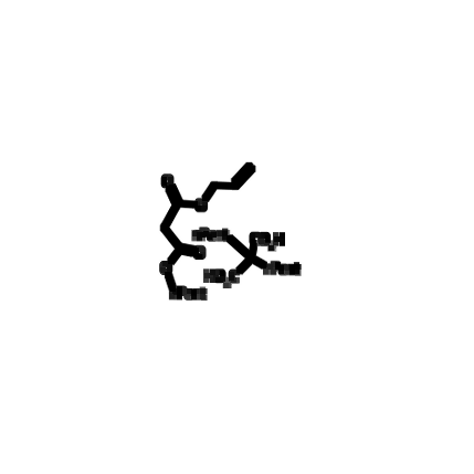 C=CCOC(=O)CC(=O)OCCCCC.CCCCCC(CCCCC)(C(=O)O)C(=O)O